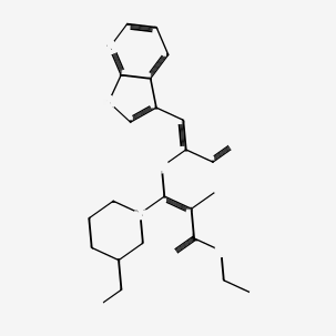 CCOC(=O)/C(C)=C(/O/C(C=O)=C\c1c[nH]c2ncccc12)N1CCCC(CO)C1